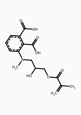 C=C(C)C(=O)OCC(O)CN(C)c1cccc(C(=O)O)c1C(=O)O